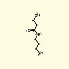 CC(C)CCCNC(=O)CCO